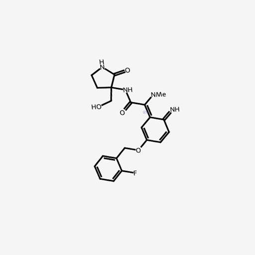 CN/C(C(=O)NC1(CO)CCNC1=O)=C1/C=C(OCc2ccccc2F)C=CC1=N